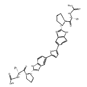 COC(=O)N[C@@H](C(=O)N1CCC[C@H]1c1nc2cc(-c3ccc(-c4ccc5[nH]c([C@@H]6CCCN6C(=O)[C@H](NC(=O)OC)C(C)C)nc5c4)s3)ccc2[nH]1)C(C)C